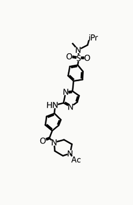 CC(=O)N1CCN(C(=O)c2ccc(Nc3nccc(-c4ccc(S(=O)(=O)N(C)CC(C)C)cc4)n3)cc2)CC1